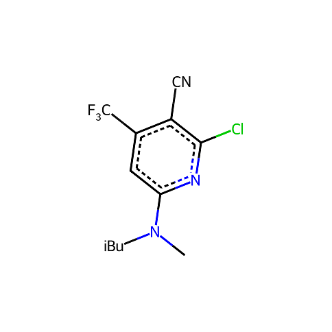 CCC(C)N(C)c1cc(C(F)(F)F)c(C#N)c(Cl)n1